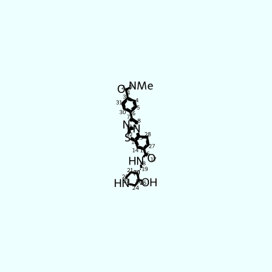 CNC(=O)c1ccc(-c2cn3c(n2)sc2cc(C(=O)NC[C@H]4CCNC[C@@H]4O)ccc23)cc1